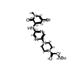 CCCCOC(=O)N1CCN(c2cnc(Nc3cc(Br)cn(C)c3=O)cn2)CC1